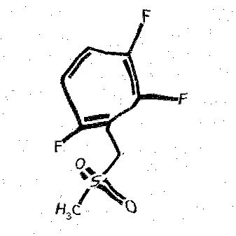 CS(=O)(=O)[CH]c1c(F)ccc(F)c1F